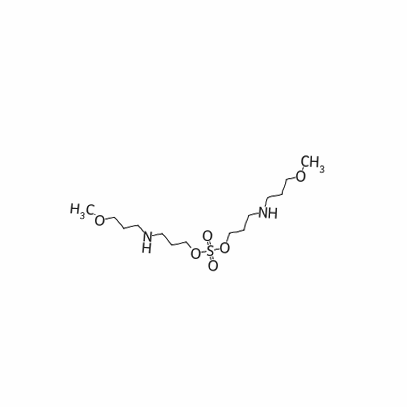 COCCCNCCCOS(=O)(=O)OCCCNCCCOC